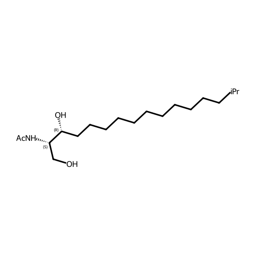 CC(=O)N[C@@H](CO)[C@H](O)CCCCCCCCCCCC(C)C